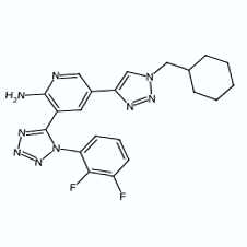 Nc1ncc(-c2cn(CC3CCCCC3)nn2)cc1-c1nnnn1-c1cccc(F)c1F